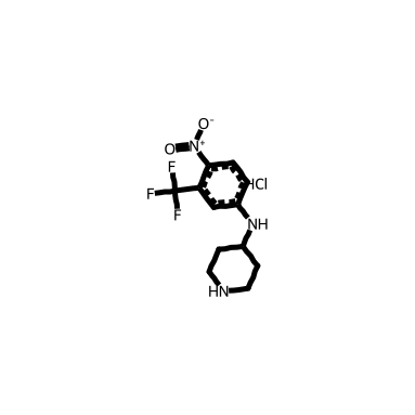 Cl.O=[N+]([O-])c1ccc(NC2CCNCC2)cc1C(F)(F)F